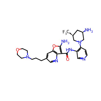 Nc1oc2cc(CCCN3CCOCC3)cnc2c1C(=O)Nc1cnccc1N1C[C@H](N)C[C@H](C(F)(F)F)C1